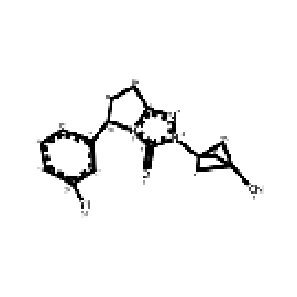 N#CC12CC(n3nc4n(c3=O)C(c3cccc(Cl)c3)CC4)(C1)C2